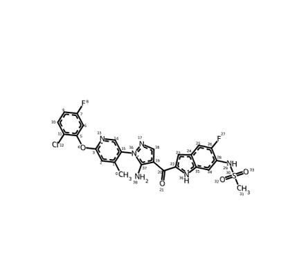 Cc1cc(Oc2cc(F)ccc2Cl)ncc1-n1ncc(C(=O)c2cc3cc(F)c(NS(C)(=O)=O)cc3[nH]2)c1N